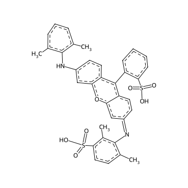 Cc1ccc(S(=O)(=O)O)c(C)c1N=c1ccc2c(-c3ccccc3S(=O)(=O)O)c3ccc(Nc4c(C)cccc4C)cc3oc-2c1